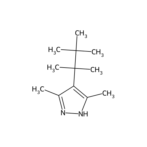 Cc1n[nH]c(C)c1C(C)(C)C(C)(C)C